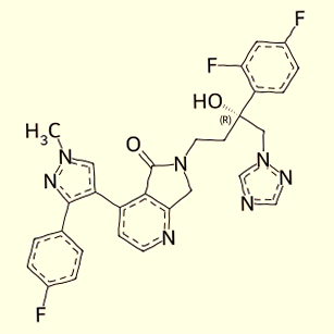 Cn1cc(-c2ccnc3c2C(=O)N(CC[C@](O)(Cn2cncn2)c2ccc(F)cc2F)C3)c(-c2ccc(F)cc2)n1